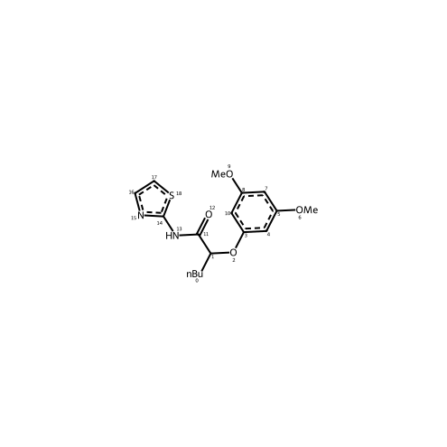 CCCCC(Oc1cc(OC)cc(OC)c1)C(=O)Nc1nccs1